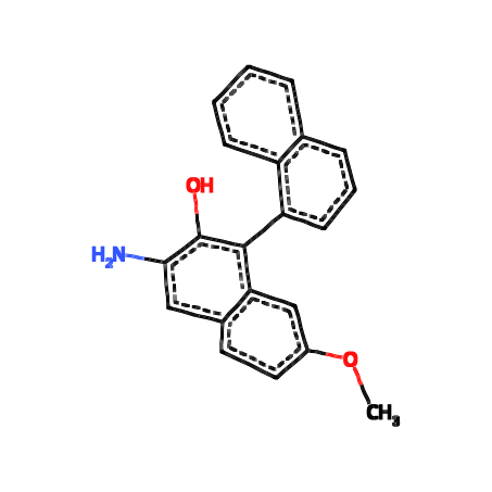 COc1ccc2cc(N)c(O)c(-c3cccc4ccccc34)c2c1